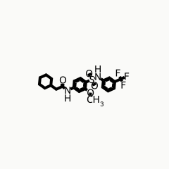 COc1cc(NC(=O)CC2CCCCC2)ccc1S(=O)(=O)Nc1cccc(C(F)(F)F)c1